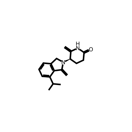 C=C1NC(=O)CC[C@H]1N1Cc2cccc(C(C)C)c2C1=C